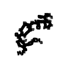 COc1ccc(C(=O)N2CCN(CC(=O)Nc3ccccc3C(N)=O)CC2)cc1OC